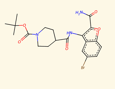 CC(C)(C)OC(=O)N1CCC(C(=O)Nc2c(C(N)=O)oc3ccc(Br)cc23)CC1